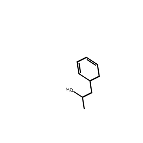 CC(O)CC1C=CC=CC1